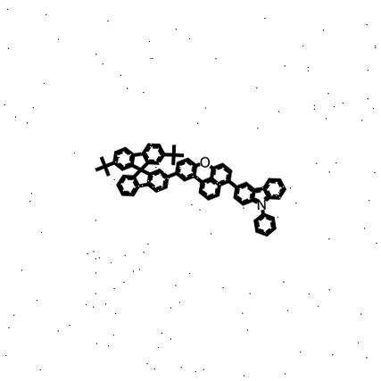 CC(C)(C)c1ccc2c(c1)C1(c3ccccc3-c3ccc(-c4ccc5c(c4)-c4cccc6c(-c7ccc8c(c7)c7ccccc7n8-c7ccccc7)ccc(c46)O5)cc31)c1cc(C(C)(C)C)ccc1-2